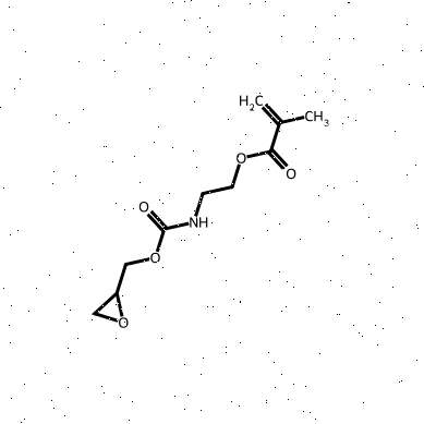 C=C(C)C(=O)OCCNC(=O)OCC1CO1